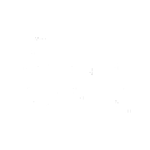 COc1ccc(C(=O)Nc2c(Cl)c[n+](O)cc2Cl)c2c1S(=O)(=O)c1ccccc1-2